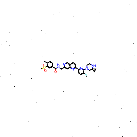 Cc1ccc(C(=O)NCc2cc3nc(-c4ccc(F)c(N5CCNC6(CC6)C5)n4)ccc3cn2)cc1S(C)(=O)=O